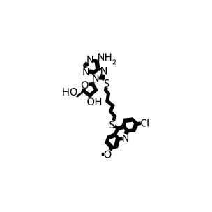 COc1ccc2c(SCCCCCCSc3nc4c(N)ncnc4n3[C@H]3CC(O)[C@@H](CO)O3)c3ccc(Cl)cc3nc2c1